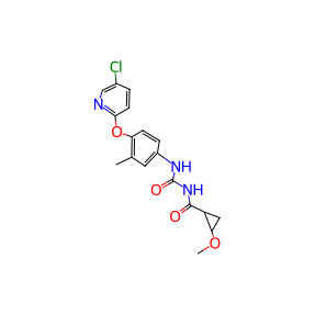 COC1CC1C(=O)NC(=O)Nc1ccc(Oc2ccc(Cl)cn2)c(C)c1